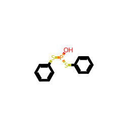 OP(Sc1ccccc1)Sc1ccccc1